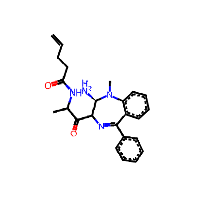 C=CCCC(=O)NC(C)C(=O)C1N=C(c2ccccc2)c2ccccc2N(C)[C@@H]1N